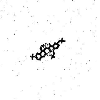 Cc1c2c(c(CC(C)(C)C)c3ccc(CC(C)(C)C)cc13)Oc1cc3ccc(C(C)(C)C)cc3c3cc[n+](C)c-2c13